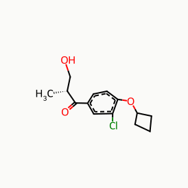 C[C@H](CO)C(=O)c1ccc(OC2CCC2)c(Cl)c1